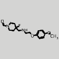 COc1ccc(OCCNCC2(F)CCN(C=O)CC2)cc1